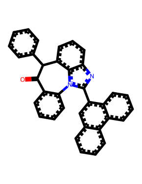 O=C1c2ccccc2-n2c(-c3cc4ccccc4c4ccccc34)nc3cccc(c32)C1c1ccccc1